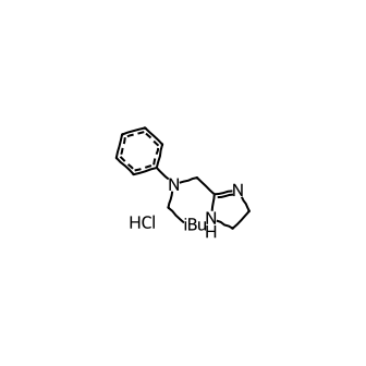 CCC(C)CN(CC1=NCCN1)c1ccccc1.Cl